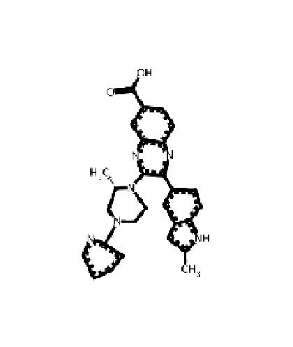 Cc1cc2cc(-c3nc4ccc(C(=O)O)cc4nc3N3CCN(c4ccccn4)C[C@@H]3C)ccc2[nH]1